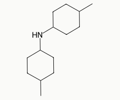 CC1CCC(NC2CCC(C)CC2)CC1